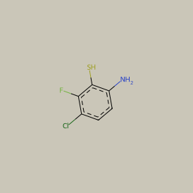 Nc1ccc(Cl)c(F)c1S